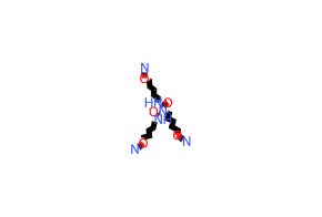 N#COCCCCCNC(=O)N(CCCCCOC#N)C(=O)NCCCCCOC#N